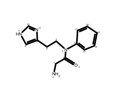 NCC(=O)N(CCc1c[nH]cn1)c1ccccc1